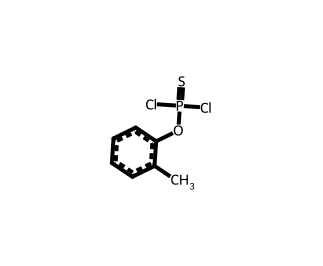 Cc1ccccc1OP(=S)(Cl)Cl